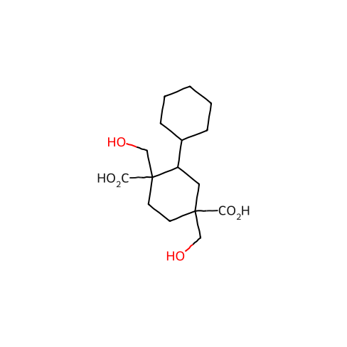 O=C(O)C1(CO)CCC(CO)(C(=O)O)C(C2CCCCC2)C1